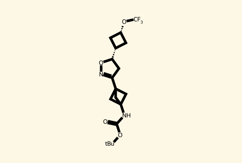 CC(C)(C)OC(=O)NC12CC(C3=NOC([C@H]4C[C@@H](OC(F)(F)F)C4)C3)(C1)C2